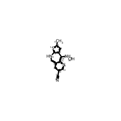 Cc1cc2c(s1)NC=c1cc(C#N)cnc1=C2N.Cl